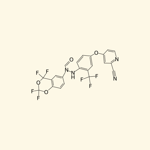 N#Cc1cc(Oc2ccc(NN(C=O)c3ccc4c(c3)C(F)(F)OC(F)(F)O4)c(C(F)(F)F)c2)ccn1